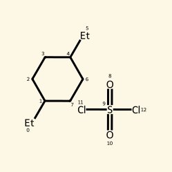 CCC1CCC(CC)CC1.O=S(=O)(Cl)Cl